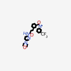 CN(C(=O)c1cccc(/C=C/C(=O)Nc2ccc(N3CCOCC3)cn2)c1)c1cccc(C(F)(F)F)c1